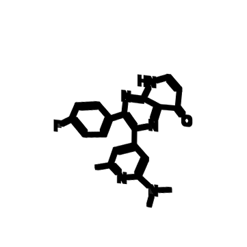 Cc1cc(-c2nc3c(=O)cc[nH]c3nc2-c2ccc(F)cc2)cc(N(C)C)n1